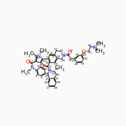 Cc1c(C(=O)N(C)c2ccccc2)cc(-c2cc3c(cc2C(=O)N2Cc4ccccc4C[C@H]2C)CN(C(=O)Cc2cccc(OCCN(C)C)c2)CC3)n1C